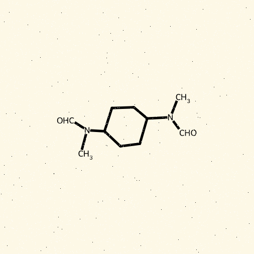 CN(C=O)[C]1CCC(N(C)C=O)CC1